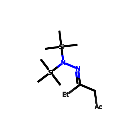 CC/C(CC(C)=O)=N\N([Si](C)(C)C)[Si](C)(C)C